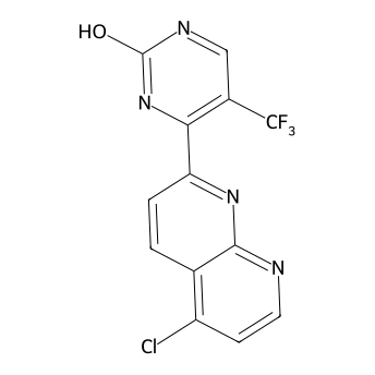 Oc1ncc(C(F)(F)F)c(-c2ccc3c(Cl)ccnc3n2)n1